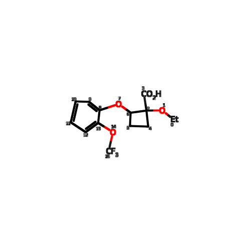 CCOC1(C(=O)O)CCC1Oc1ccccc1OC(F)(F)F